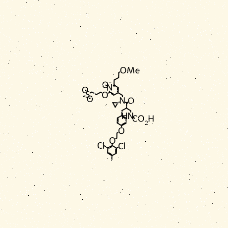 COCCCc1cc(CN(C(=O)C(CNC(=O)O)Cc2ccc(OCCOc3c(Cl)cc(C)cc3Cl)cc2)C2CC2)cc(OCCCS(C)(=O)=O)[n+]1[O-]